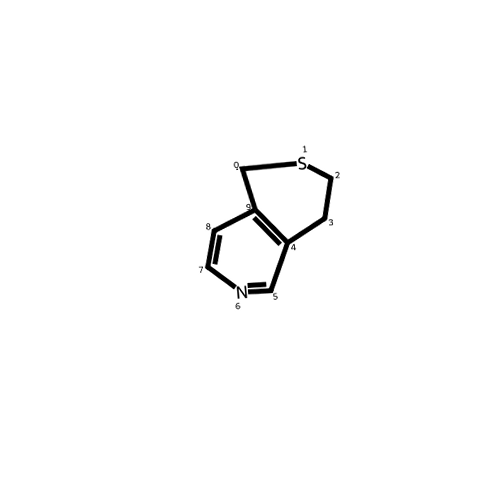 [CH]1SCCc2cnccc21